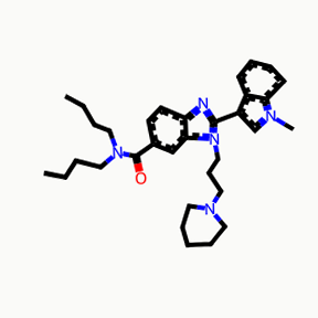 CCCCN(CCCC)C(=O)c1ccc2nc(-c3cn(C)c4ccccc34)n(CCCN3CCCCC3)c2c1